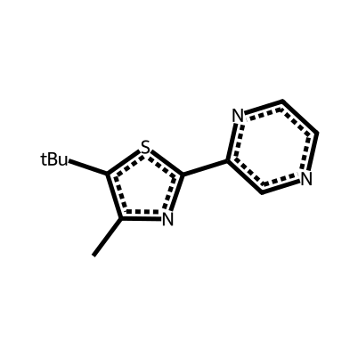 Cc1nc(-c2cnccn2)sc1C(C)(C)C